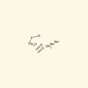 C=O.C=O.O.O.[Na+].[Na+].[O-]S[O-]